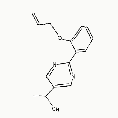 C=CCOc1ccccc1-c1ncc(C(C)O)cn1